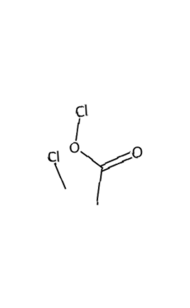 CC(=O)OCl.CCl